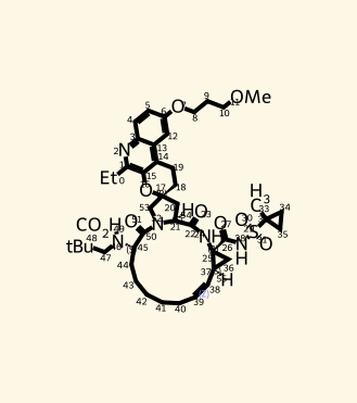 CCc1nc2ccc(OCCCOC)cc2c2c1O[C@]1(CC2)C[C@H]2C(=O)N[C@]3(C(=O)NS(=O)(=O)C4(C)CC4)C[C@H]3/C=C\CCCCC[C@H](N(CC(C)(C)C)C(=O)O)C(=O)N2C1